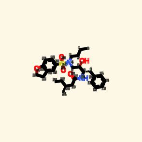 CCCCN(C[C@@H](O)[C@H](Cc1ccccc1)NC(=O)C[C@@H](C)CC)S(=O)(=O)c1ccc2c(c1)CCO2